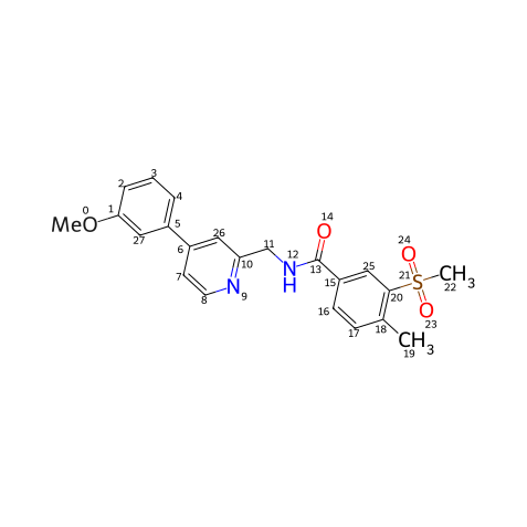 COc1cccc(-c2ccnc(CNC(=O)c3ccc(C)c(S(C)(=O)=O)c3)c2)c1